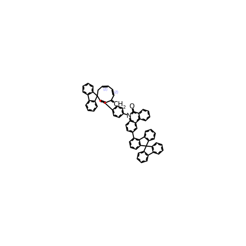 C=C1/C=C\C=C/CC2(c3ccccc3-c3ccccc32)c2cccc(-c3ccc(-n4c(=O)c5ccccc5c5cc(-c6cccc7c6-c6ccccc6C76c7ccccc7-c7ccccc76)ccc54)cc3)c21